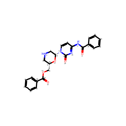 O=C(Nc1ccn([C@H]2CNC[C@@H](COC(=O)c3ccccc3)O2)c(=O)n1)c1ccccc1